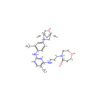 Cc1cc(N2C[C@H]3C[C@@H]2CO3)ccc1Nc1ncc(C(F)(F)F)c(NCCCN2CCOCCC2=O)n1